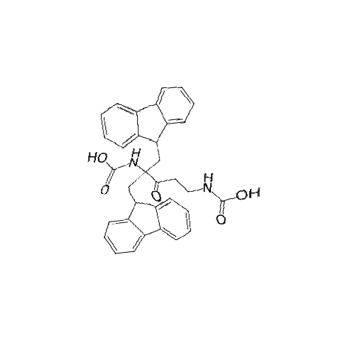 O=C(O)NCCC(=O)C(CC1c2ccccc2-c2ccccc21)(CC1c2ccccc2-c2ccccc21)NC(=O)O